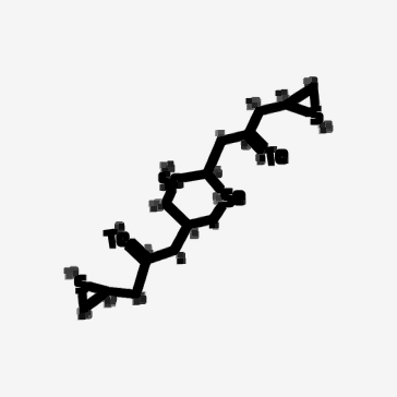 [Te]=C(CC1C[Se]C(CC(=[Te])CC2CS2)[Se]C1)CC1CS1